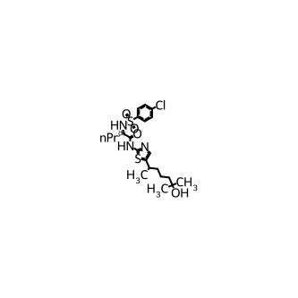 CCC[C@H](NS(=O)(=O)c1ccc(Cl)cc1)C(=O)Nc1ncc(C(C)CCCC(C)(C)O)s1